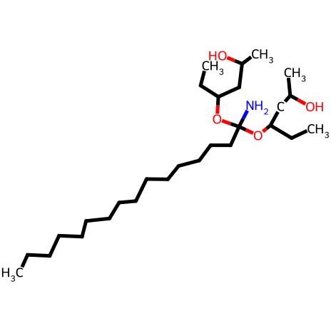 CCCCCCCCCCCCCCCC(N)(OC(CC)CC(C)O)OC(CC)CC(C)O